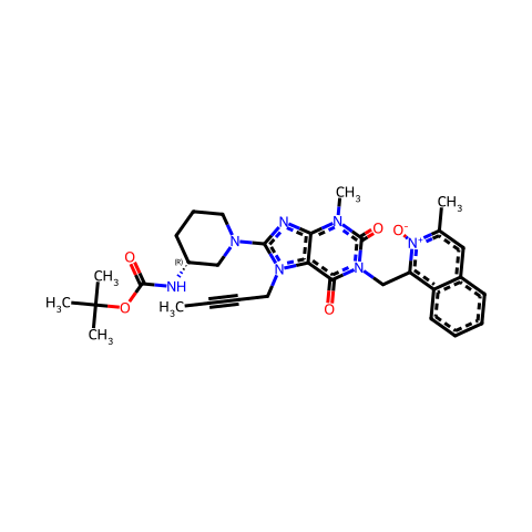 CC#CCn1c(N2CCC[C@@H](NC(=O)OC(C)(C)C)C2)nc2c1c(=O)n(Cc1c3ccccc3cc(C)[n+]1[O-])c(=O)n2C